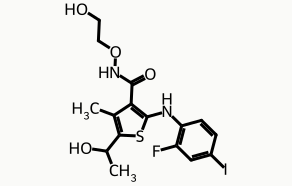 Cc1c(C(C)O)sc(Nc2ccc(I)cc2F)c1C(=O)NOCCO